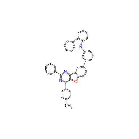 Cc1ccc(-c2nc(-c3ccccc3)nc3c2oc2ccc(-c4cccc(-n5c6ccccc6c6ccccc65)c4)cc23)cc1